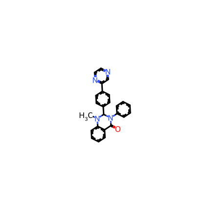 CN1c2ccccc2C(=O)N(c2ccccc2)C1c1ccc(-c2cnccn2)cc1